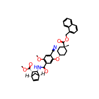 COC(=O)[C@@H]1[C@H](NC(=O)c2cc(O[C@H]3CC[C@@](C)(C(=O)OCc4cccc5ccccc45)CC3)c(C#N)cc2OC)[C@H]2C=C[C@@H]1C2